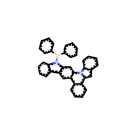 c1ccc(B(c2ccccc2)n2c3ccccc3c3cc4c5ccccc5c5cc6ccccc6n5c4cc32)cc1